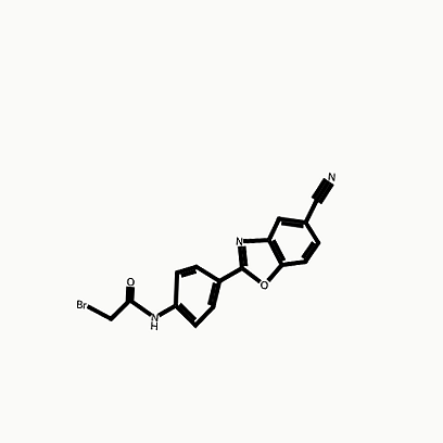 N#Cc1ccc2oc(-c3ccc(NC(=O)CBr)cc3)nc2c1